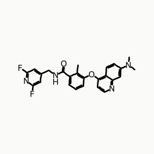 Cc1c(Oc2ccnc3cc(N(C)C)ccc23)cccc1C(=O)NCc1cc(F)nc(F)c1